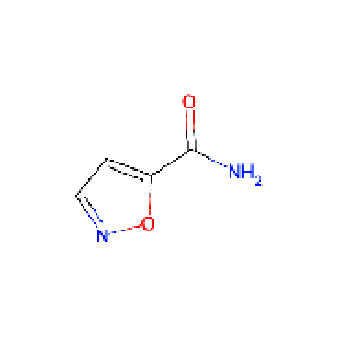 NC(=O)c1ccno1